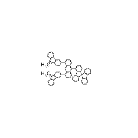 Cn1c2ccccc2c2cc(-c3cccc4c(-c5cccc6c5-c5ccccc5C65c6ccccc6-c6ccccc65)c5cccc(-c6ccc7c(c6)c6ccccc6n7C)c5cc34)ccc21